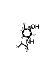 CCC(C)Nc1ccc(C)c(O)c1